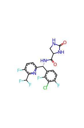 O=C1NCC(C(=O)N[C@@H](c2ccc(F)c(C(F)F)n2)c2ccc(F)c(Cl)c2F)N1